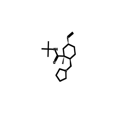 C=C[C@@H]1CC[C@@H](CN2CCCC2)[C@@](C)(C(=O)NC(C)(C)C)C1